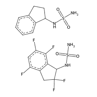 NS(=O)(=O)NC1CCc2ccccc21.NS(=O)(=O)NC1c2c(F)c(F)cc(F)c2CC1(F)F